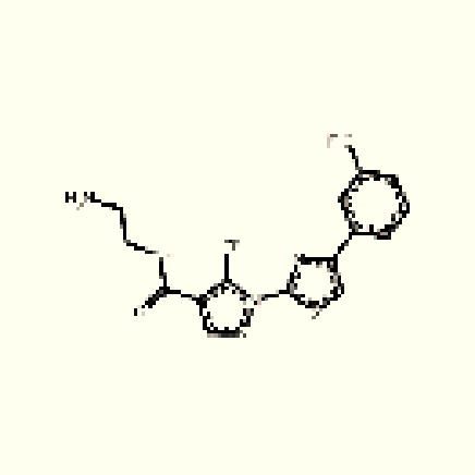 NCCNC(=O)c1cnn(-c2nc(-c3cccc(C(F)(F)F)c3)cs2)c1C(F)(F)F